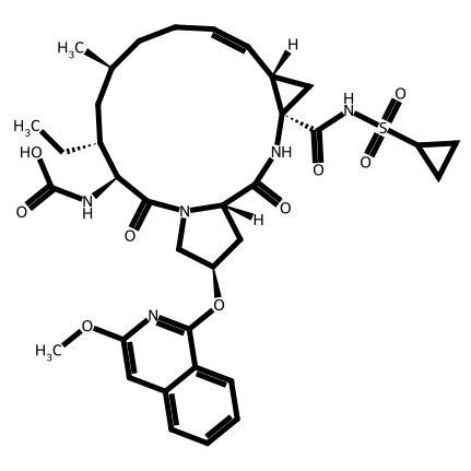 CC[C@@H]1C[C@@H](C)CC/C=C\[C@@H]2C[C@@]2(C(=O)NS(=O)(=O)C2CC2)NC(=O)[C@@H]2C[C@@H](Oc3nc(OC)cc4ccccc34)CN2C(=O)[C@H]1NC(=O)O